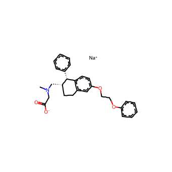 CN(CC(=O)[O-])C[C@H]1CCc2cc(OCCOc3ccccc3)ccc2[C@H]1c1ccccc1.[Na+]